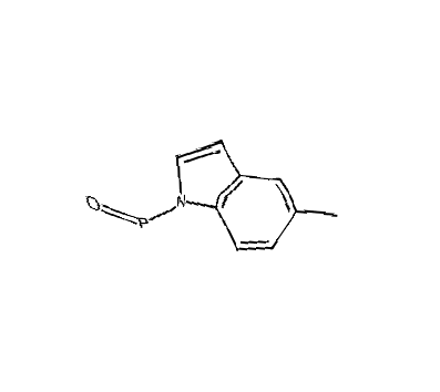 Cc1ccc2c(ccn2P=O)c1